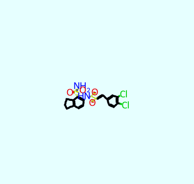 NS(=O)(=O)c1c(NS(=O)(=O)C=Cc2ccc(Cl)c(Cl)c2)ccc2c1CCC2